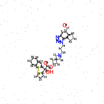 O=Cc1cc2nnn(CCCN3CC4(CC(OC(=O)[C@@](O)(c5cccs5)c5cc6ccccc6s5)C4)C3)c2c2c1CCC2